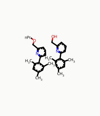 CCCOCc1cccc(-c2c(C)cc(C)cc2C)n1.Cc1cc(C)c(-c2cccc(CO)n2)c(C)c1